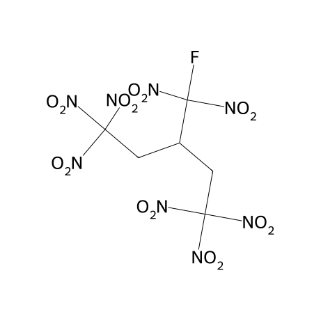 O=[N+]([O-])C(F)(C(CC([N+](=O)[O-])([N+](=O)[O-])[N+](=O)[O-])CC([N+](=O)[O-])([N+](=O)[O-])[N+](=O)[O-])[N+](=O)[O-]